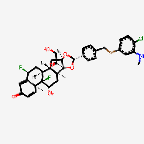 CNc1cc(SCc2ccc([C@H]3O[C@@H]4C[C@H]5[C@@H]6C[C@H](F)C7=CC(=O)C=C[C@]7(C)[C@@]6(F)[C@@H](O)C[C@]5(C)[C@]4(C(=O)CO)O3)cc2)ccc1Cl